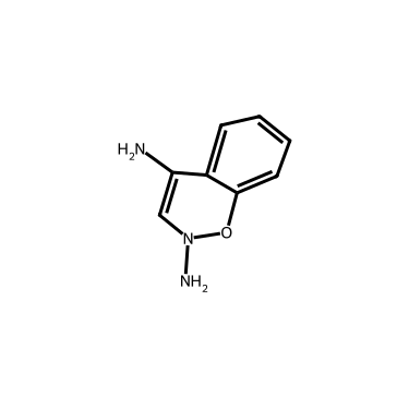 NC1=CN(N)Oc2ccccc21